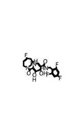 O=C(NCc1c(F)cc(F)cc1F)C1=CN2C(=C(O)[C@@H]1O)C(=O)N1CC=C(F)C[C@H]2C1